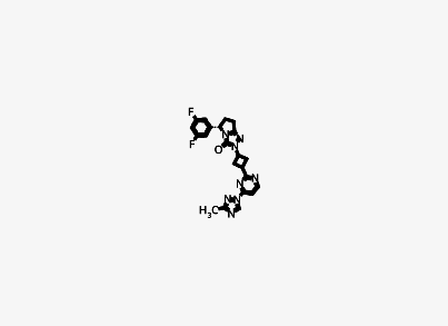 Cc1ncn(-c2ccnc(C3CC(n4nc5n(c4=O)[C@H](c4cc(F)cc(F)c4)CC5)C3)n2)n1